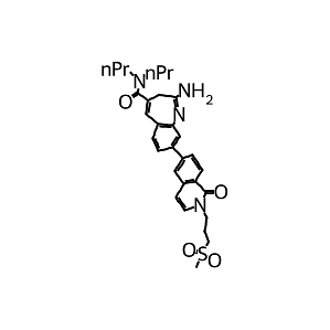 CCCN(CCC)C(=O)C1=Cc2ccc(-c3ccc4c(=O)n(CCCS(C)(=O)=O)ccc4c3)cc2N=C(N)C1